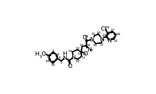 Cc1ccc(CNC(=O)N2CCC3(CC2)CC(C(=O)N2CCN(c4ncccc4Cl)CC2)=NO3)cc1